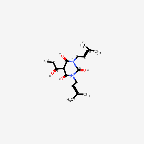 CC(C)=CCN1C(=O)C(C(=O)CC(C)C)C(=O)N(CC=C(C)C)C1=O